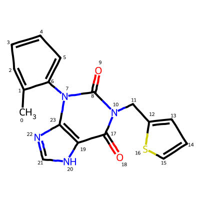 Cc1ccccc1-n1c(=O)n(Cc2cccs2)c(=O)c2[nH]cnc21